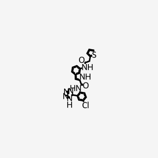 O=C(Cc1cccs1)Nc1cccc2cc(C(=O)Nc3ccc(Cl)cc3-c3nnn[nH]3)[nH]c12